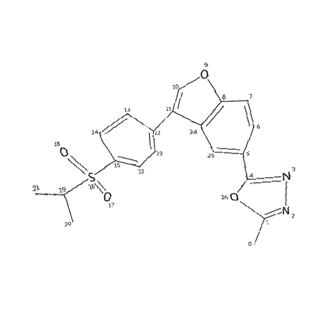 Cc1nnc(-c2ccc3occ(-c4ccc(S(=O)(=O)C(C)C)cc4)c3c2)o1